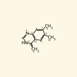 C=C1NC=Nc2cc(C)c(C)cc21